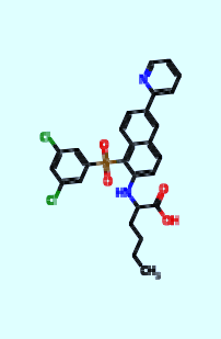 CCCCC(Nc1ccc2cc(-c3ccccn3)ccc2c1S(=O)(=O)c1cc(Cl)cc(Cl)c1)C(=O)O